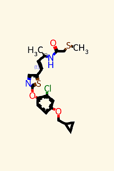 CSCC(=O)N[C@@H](C)/C=C/c1cnc(Oc2ccc(OCC3CC3)cc2Cl)s1